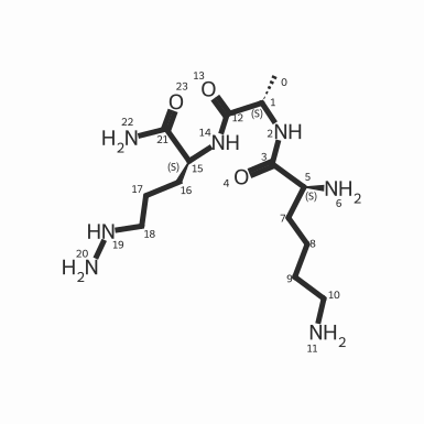 C[C@H](NC(=O)[C@@H](N)CCCCN)C(=O)N[C@@H](CCCNN)C(N)=O